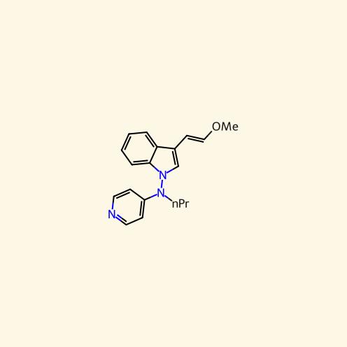 CCCN(c1ccncc1)n1cc(C=COC)c2ccccc21